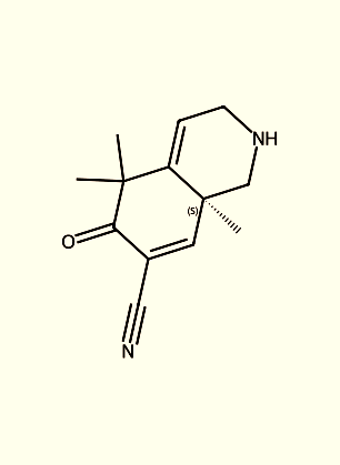 CC1(C)C(=O)C(C#N)=C[C@]2(C)CNCC=C12